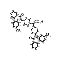 O=C(NC1CCN(C(C(=O)O)N2CCC(NC(=O)c3ccccc3-c3ccc(C(F)(F)F)cc3)CC2)CC1)c1ccccc1-c1ccc(C(F)(F)F)cc1